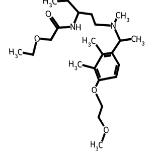 CCOCC(=O)NC(CC)CCN(C)C(C)c1ccc(OCCOC)c(C)c1C